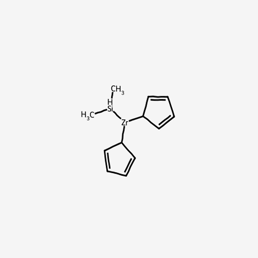 C[SiH](C)[Zr]([CH]1C=CC=C1)[CH]1C=CC=C1